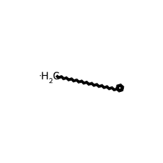 [CH2]CCCCCCCCCCCCCCCCCCCCCCCc1ccccc1